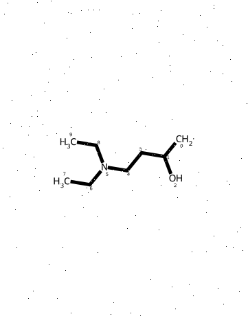 [CH2]C(O)CCN(CC)CC